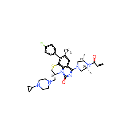 C=CC(=O)N1[C@H](C)CN(c2nc(=O)n3c4c(c(-c5ccc(F)cc5)c(C(F)(F)F)cc24)SC[C@@H]3CN2CCN(C3CC3)CC2)C[C@@H]1C